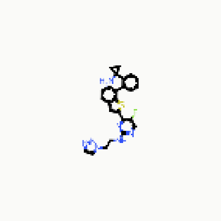 NC1(c2ccccc2-c2cccc3cc(-c4nc(NCCn5ccnn5)ncc4F)sc23)CC1